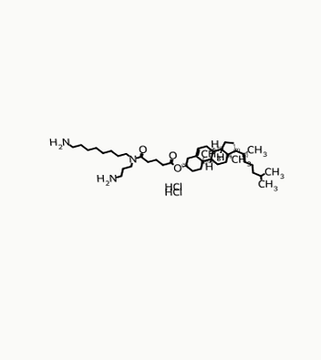 CC(C)CCC[C@@H](C)[C@H]1CC[C@H]2[C@@H]3CC=C4C[C@@H](OC(=O)CCCC(=O)N(CCCN)CCCCCCCCN)CC[C@]4(C)[C@H]3CC[C@]12C.Cl.Cl